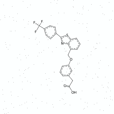 O=C(O)Cc1cccc(OCc2cccc3sc(-c4ccc(C(F)(F)F)cc4)nc23)c1